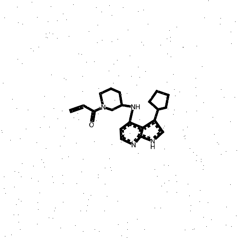 C=CC(=O)N1CCCC(Nc2ccnc3[nH]cc(C4CCCC4)c23)C1